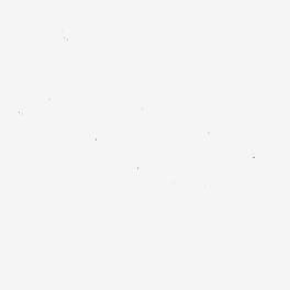 COC(OC)c1cc(Oc2ccc(C#N)c(C#N)c2)ccc1Br